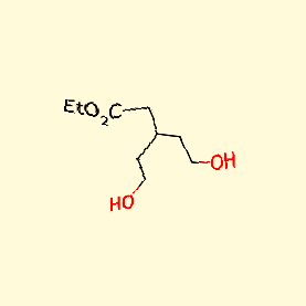 CCOC(=O)CC(CCO)CCO